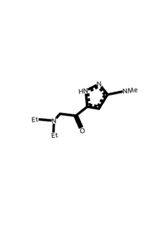 CCN(CC)CC(=O)c1cc(NC)n[nH]1